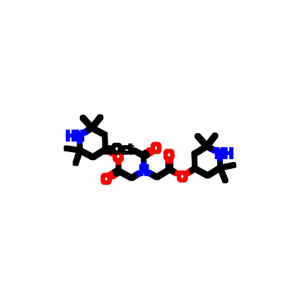 CCCCCCCCC(=O)N(CC(=O)OC1CC(C)(C)NC(C)(C)C1)CC(=O)OC1CC(C)(C)NC(C)(C)C1